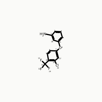 Nc1cccc(Oc2ccc(C(F)(F)F)c(Cl)c2)c1